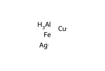 [Ag].[AlH3].[Cu].[Fe]